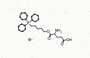 NC(CCC(=O)O)C(=O)OCCCCC[P+](c1ccccc1)(c1ccccc1)c1ccccc1.[Br-]